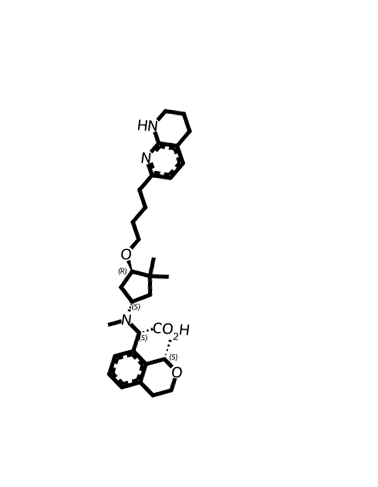 C[C@@H]1OCCc2cccc([C@@H](C(=O)O)N(C)[C@@H]3C[C@@H](OCCCCc4ccc5c(n4)NCCC5)C(C)(C)C3)c21